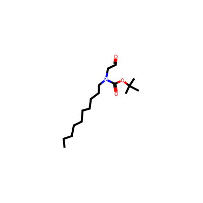 CCCCCCCCCCN(CC=O)C(=O)OC(C)(C)C